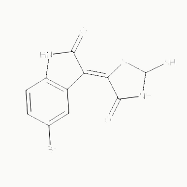 O=C1NC(S)SC1=C1C(=O)Nc2ccc(Br)cc21